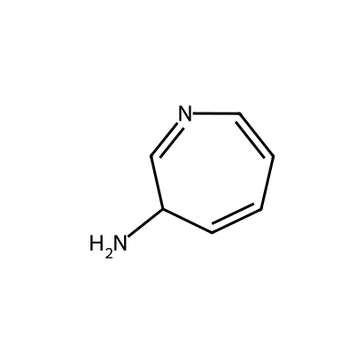 NC1C=CC=CN=C1